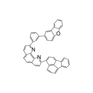 c1cc(-c2ccc3oc4ccccc4c3c2)cc(-c2ccc3ccc4ccc(-c5ccc6c7c(cccc57)-c5ccccc5-6)nc4c3n2)c1